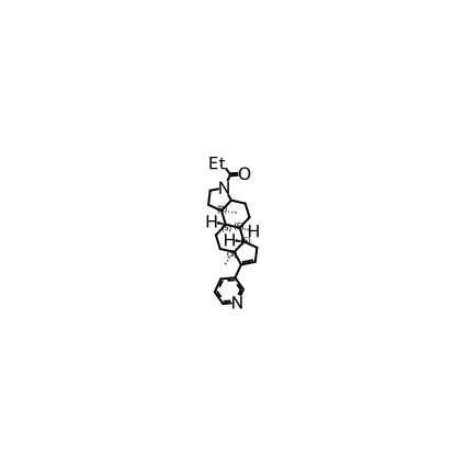 CCC(=O)N1CC[C@@]2(C)C1CC[C@@H]1[C@@H]2CC[C@]2(C)C(c3cccnc3)=CC[C@@H]12